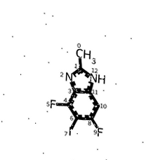 Cc1nc2c(F)c(I)c(F)cc2[nH]1